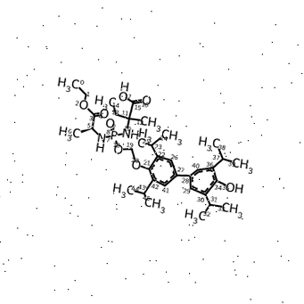 CCOC(=O)[C@H](C)NP(=O)(NC(C)(CC)C(=O)O)OCOc1c(C(C)C)cc(-c2cc(C(C)C)c(O)c(C(C)C)c2)cc1C(C)C